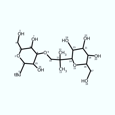 CC(C)(C)C1OC(CO)C(O)C(OCC(C)(C)C2OC(CO)C(O)C(O)C2O)C1O